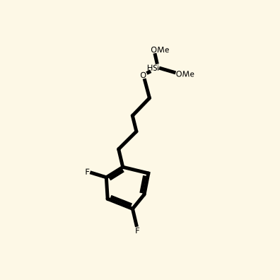 CO[SiH](OC)OCCCCc1ccc(F)cc1F